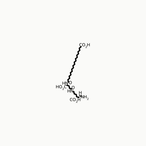 NN[C@@H](CCCCNC(=O)CC[C@H](NC(=O)CCCCCCCCCCCCCCCCCCCCC(=O)O)C(=O)O)C(=O)O